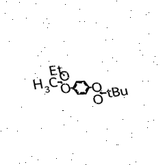 CCOC(C)Oc1ccc(OC(=O)C(C)(C)C)cc1